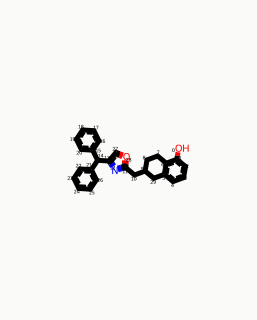 Oc1cccc2c1CCC(Cc1nc(C(c3ccccc3)c3ccccc3)co1)C2